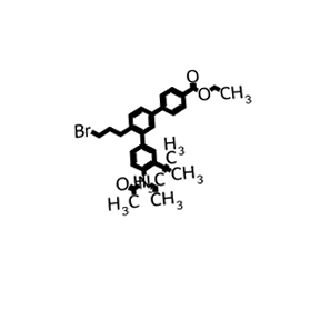 CCOC(=O)c1ccc(-c2ccc(CCCBr)c(-c3ccc(N(CC)C(C)=O)c(C(C)(C)C)c3)c2)cc1